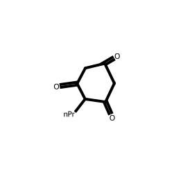 CCCC1C(=O)CC(=O)CC1=O